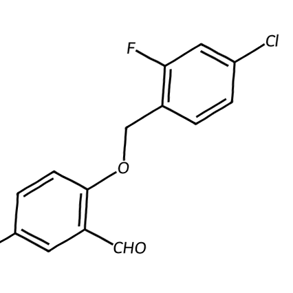 O=Cc1cc(F)ccc1OCc1ccc(Cl)cc1F